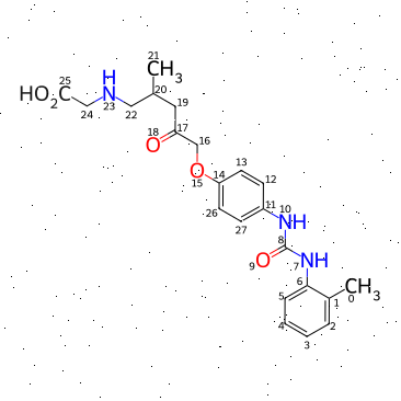 Cc1ccccc1NC(=O)Nc1ccc(OCC(=O)CC(C)CNCC(=O)O)cc1